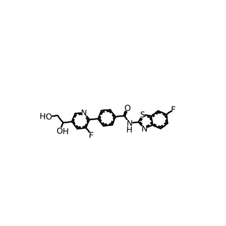 O=C(Nc1nc2ccc(F)cc2s1)c1ccc(-c2ncc(C(O)CO)cc2F)cc1